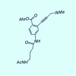 CNCC#Cc1cc(NC(=O)CCCNC(C)=O)ccc1C(=O)OC